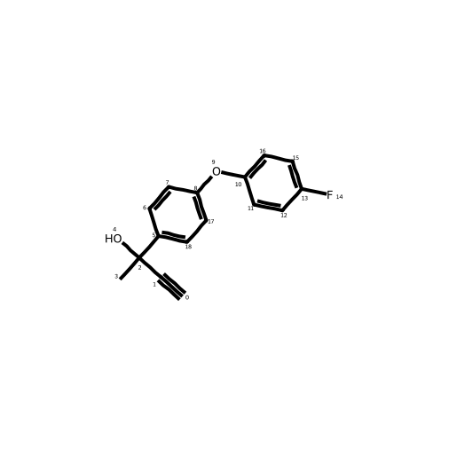 C#CC(C)(O)c1ccc(Oc2ccc(F)cc2)cc1